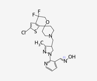 CC1=NN(c2ncccc2/C=N/O)CC1CN1CCC2(CC1)OCC(F)(F)c1cc(Cl)sc12